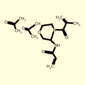 C=CC(=O)NC1COCCN1C(=O)C(=C)C.CC(C)=O.CC(C)=O